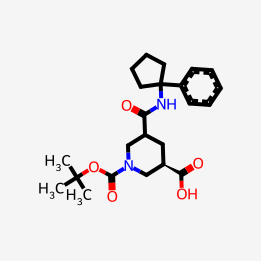 CC(C)(C)OC(=O)N1CC(C(=O)NC2(c3ccccc3)CCCC2)C[C@@H](C(=O)O)C1